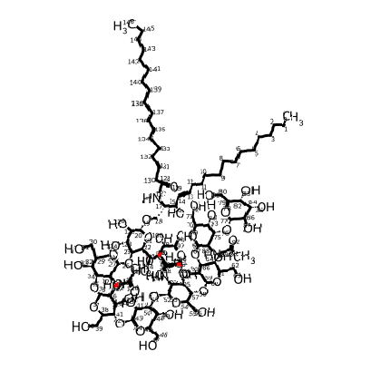 CCCCCCCCCCCCC/C=C/[C@@H](O)[C@H](CO[C@@H]1OC(CO)[C@@H](O[C@@H]2OC(CO)[C@H](O)[C@H](O[C@@H]3OC(CO)[C@@H](O[C@@H]4OC(CO)[C@H](O)[C@H](O[C@@H]5OC(CO)[C@@H](O[C@@H]6OC(CO)[C@H](O)[C@H](O[C@H]7OC(CO)[C@H](O)[C@H](O[C@@H]8OC(CO)[C@H](O)[C@H](O)C8O)C7NC(C)=O)C6O[C@H]6OC(C)[C@@H](O)C(O)[C@@H]6O)[C@H](O)C5NC(C)=O)C4O)[C@H](O)C3NC(C)=O)C2O)[C@H](O)C1O)NC(=O)CCCCCCCCCCCCCCCCC